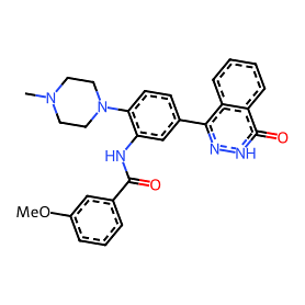 COc1cccc(C(=O)Nc2cc(-c3n[nH]c(=O)c4ccccc34)ccc2N2CCN(C)CC2)c1